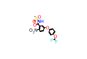 CS(=O)(=O)NC(=O)c1cc(Oc2ccc(OC(F)F)cc2)ccc1[N+](=O)[O-]